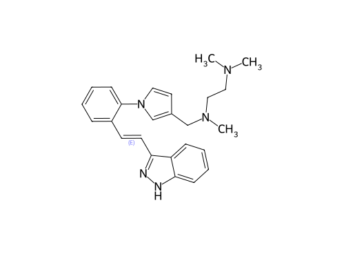 CN(C)CCN(C)Cc1ccn(-c2ccccc2/C=C/c2n[nH]c3ccccc23)c1